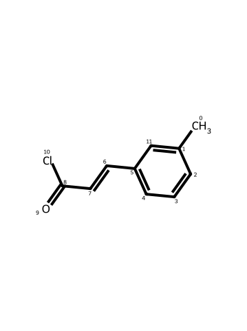 Cc1cccc(/C=C/C(=O)Cl)c1